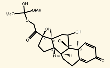 COC(O)(OC)OCC(=O)[C@@]1(O)CC[C@H]2[C@@H]3CCC4=CC(=O)C=C[C@]4(C)[C@@]3(Cl)C(O)C[C@@]21C